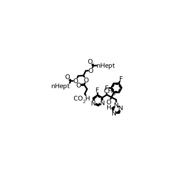 CC(c1ncncc1F)C(O)(Cn1cncn1)c1ccc(F)cc1F.CCCCCCCC(=O)OCC(COC(=O)CCCCCCC)OC(=O)CCC(=O)O